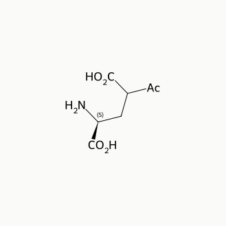 CC(=O)C(C[C@H](N)C(=O)O)C(=O)O